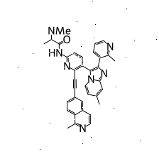 CNC(C)C(=O)Nc1ccc(-c2c(-c3cccnc3C)nc3cc(C)ccn23)c(C#Cc2ccc3c(C)nccc3c2)n1